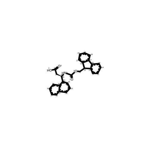 O=C(O)C[C@@H](NC(=O)OCC1c2ccccc2-c2ccccc21)c1cccc2ccccc12